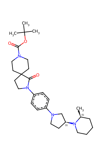 C[C@H]1CCCCN1[C@H]1CCN(c2ccc(N3CCC4(CCN(C(=O)OC(C)(C)C)CC4)C3=O)cc2)C1